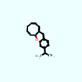 CC(C)c1ccc(CC2CCCCCCC2=O)cc1